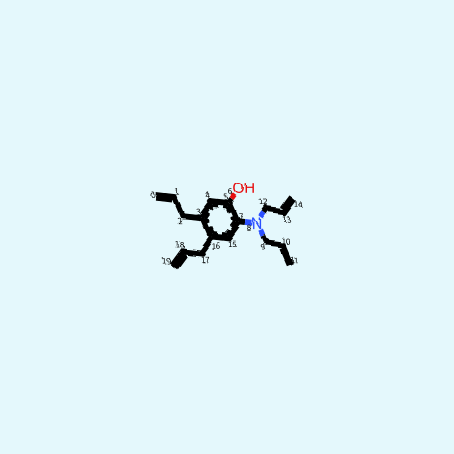 C=CCc1cc(O)c(N(CC=C)CC=C)cc1CC=C